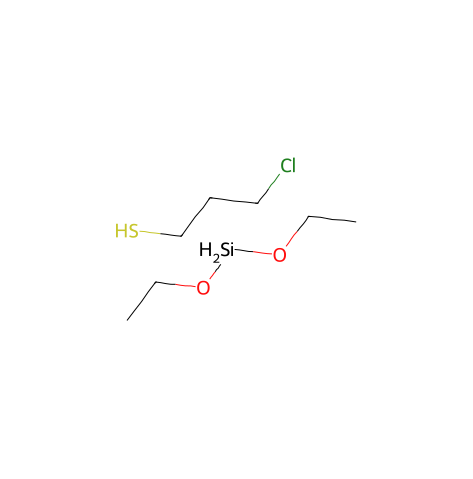 CCO[SiH2]OCC.SCCCCl